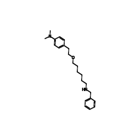 CN(C)c1ccc(CCOCCCCCCNCc2ccccc2)cc1